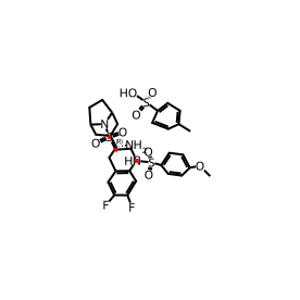 COc1ccc(S(=O)(=O)NCCS(=O)(=O)N2C3CCC2CC([C@H](N)Cc2cc(F)c(F)cc2F)C3)cc1.Cc1ccc(S(=O)(=O)O)cc1